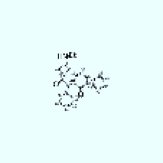 CCNC1CN(C(=O)C2c3ccccc3Oc3ccccc32)C1.c1ccccc1